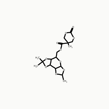 CC1OC2OC(COC(=O)C3(C)COC(=O)OC3)C3OC(C)(C)OC3C2O1